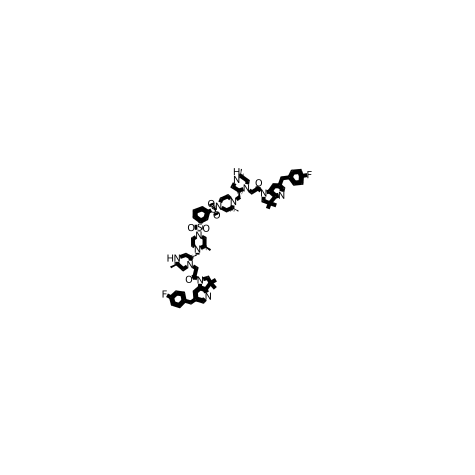 C[C@@H]1CN(CC(=O)N2CC(C)(C)c3ncc(Cc4ccc(F)cc4)cc32)[C@@H](CN2CCN(S(=O)(=O)c3cccc(S(=O)(=O)N4CCN(C[C@H]5CN[C@H](C)CN5CC(=O)N5CC(C)(C)c6ncc(Cc7ccc(F)cc7)cc65)[C@H](C)C4)c3)C[C@H]2C)CN1